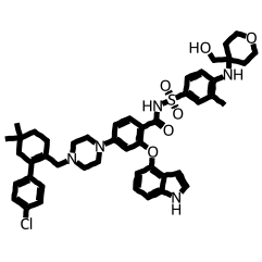 Cc1cc(S(=O)(=O)NC(=O)c2ccc(N3CCN(CC4=C(c5ccc(Cl)cc5)CC(C)(C)CC4)CC3)cc2Oc2cccc3[nH]ccc23)ccc1NC1(CO)CCOCC1